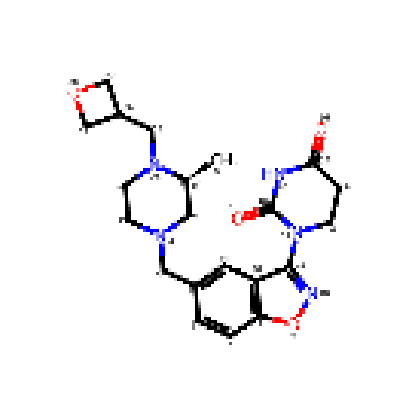 C[C@H]1CN(Cc2ccc3onc(N4CCC(=O)NC4=O)c3c2)CCN1CC1COC1